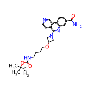 CC(C)(C)OC(=O)NCCCCOC1CN(c2nc3cc(C(N)=O)ccc3c3cnccc23)C1